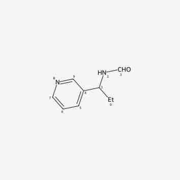 CCC(NC=O)c1cccnc1